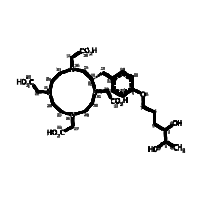 CC(O)C(O)CCCOc1ccc(C[C@H]2CN(CC(=O)O)CCN(CC(=O)O)CCN(CC(=O)O)CCN2CC(=O)O)cc1